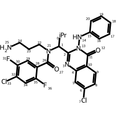 CC(C)C(c1nc2cc(Cl)ccc2c(=O)n1Nc1ccccc1)N(CCCN)C(=O)c1cc(F)c(Cl)cc1F